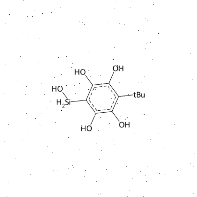 CC(C)(C)c1c(O)c(O)c([SiH2]O)c(O)c1O